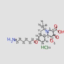 COc1c2n(cc(C(=O)O)c1=O)C(C(C)(C)C)Cc1cc(OCCCCCCN)ccc1-2.Cl